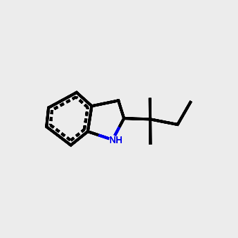 CCC(C)(C)C1Cc2ccccc2N1